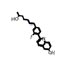 CC(O)CCC/C=C/c1ccc(-c2ccc3cc(O)ccc3n2)c(F)c1